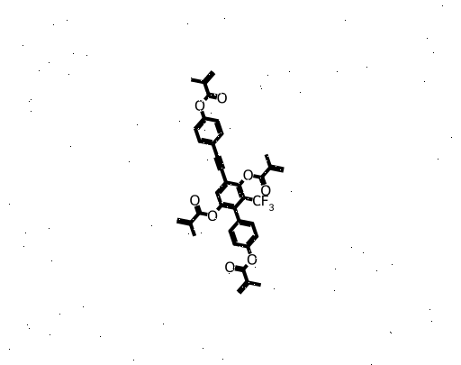 C=C(C)C(=O)Oc1ccc(C#Cc2cc(OC(=O)C(=C)C)c(-c3ccc(OC(=O)C(=C)C)cc3)c(C(F)(F)F)c2OC(=O)C(=C)C)cc1